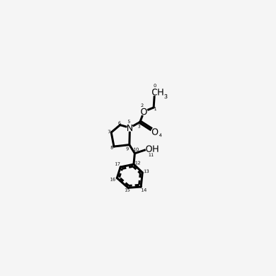 CCOC(=O)N1CCCC1C(O)c1ccccc1